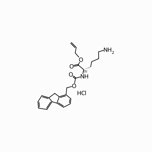 C=CCOC(=O)[C@H](CCCCN)NC(=O)OCc1cccc2c1Cc1ccccc1-2.Cl